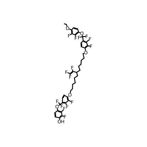 CCOc1ccc(OC(F)(F)c2ccc(OCCCCCCC(CCCCCCOc3ccc(C(F)(F)Oc4ccc(O)c(F)c4F)c(F)c3F)C(F)=C(F)F)c(F)c2F)c(F)c1F